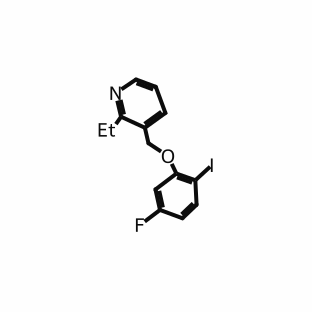 CCc1ncccc1COc1cc(F)ccc1I